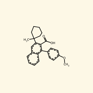 COc1ccc(-c2c(C(=O)O)c(C3(C)CCCCC3)cc3ccccc23)cc1